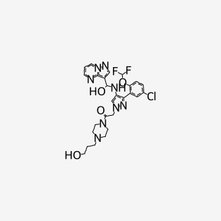 O=C(Cn1cc(NC(O)c2cnn3cccnc23)c(-c2cc(Cl)ccc2OC(F)F)n1)N1CCN(CCCO)CC1